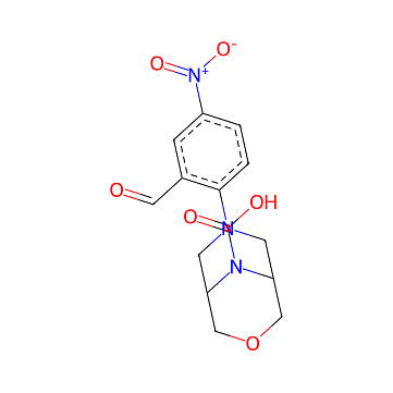 O=Cc1cc([N+](=O)[O-])ccc1N1CC2COCC(C1)N2C(=O)O